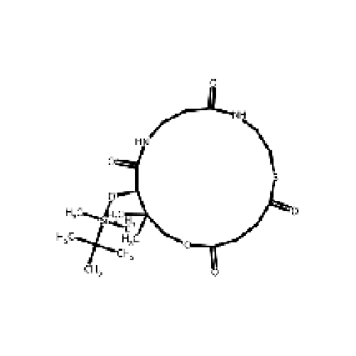 CC1(C)COC(=O)CCC(=O)SCCNC(=O)CCNC(=O)[C@@H]1O[Si](C)(C)C(C)(C)C